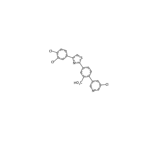 O=C(O)c1cc(-c2nc(-c3ccc(Cl)c(Cl)c3)cs2)ccc1-c1cncc(Cl)c1